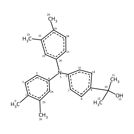 Cc1ccc(N(c2ccc(C(C)(C)O)cc2)c2ccc(C)c(C)c2)cc1C